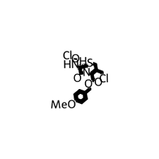 COc1ccc(COC(=O)C2=C(CCl)CS[C@@H]3[C@H](NOCl)C(=O)N23)cc1